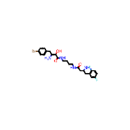 NC(CC(=O)NCCCCNC(=O)C(O)C(N)Cc1ccc(Br)cc1)Cc1cc(F)ccc1F